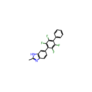 Cc1nc2ccc(-c3c(F)c(F)c(-c4ccccc4)c(F)c3F)cc2[nH]1